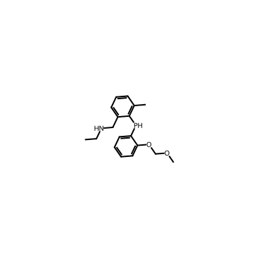 CCNCc1cccc(C)c1Pc1ccccc1OCOC